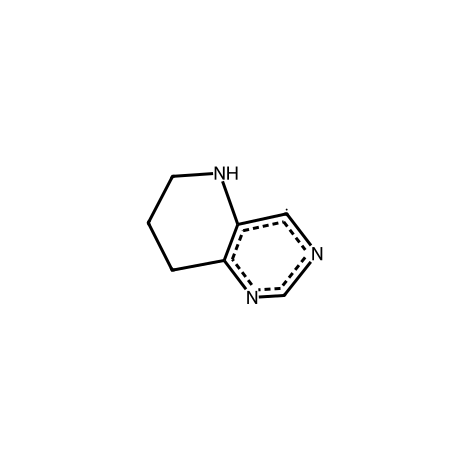 [c]1ncnc2c1NCCC2